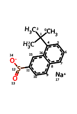 CC(C)(C)c1cccc2ccc(S(=O)[O-])cc12.[Na+]